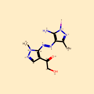 CCCCc1nn(I)c(N)c1N=Nc1c(C(=O)CO)cnn1C